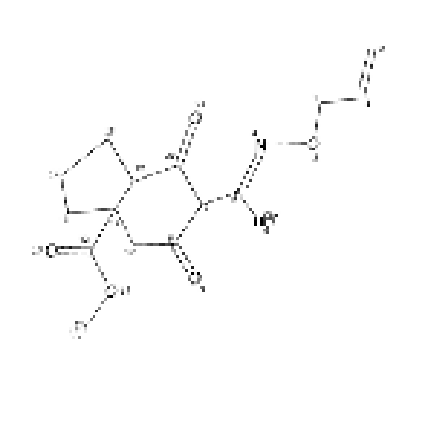 C=CCON=C(CCC)C1C(=O)CC2(C(=O)OC(C)C)CCCC2C1=O